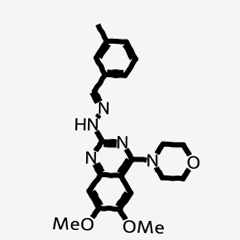 COc1cc2nc(NN=Cc3cccc(C)c3)nc(N3CCOCC3)c2cc1OC